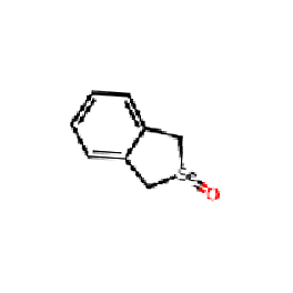 O=[Se]1Cc2ccccc2C1